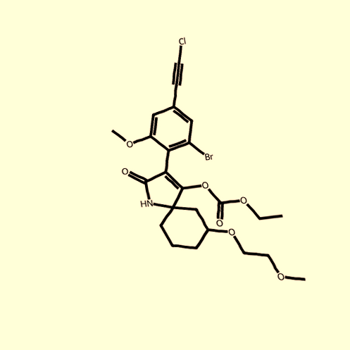 CCOC(=O)OC1=C(c2c(Br)cc(C#CCl)cc2OC)C(=O)NC12CCCC(OCCOC)C2